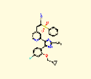 Cc1nc(-c2cc(C=C(C#N)S(=O)(=O)c3ccccc3)ccn2)c(-c2ccc(F)cc2OCC2CC2)[nH]1